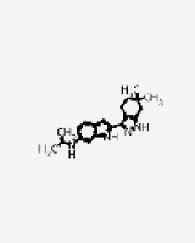 C=C(C)Nc1ccc2cc(-c3n[nH]c4c3CCC(C)(C)C4)[nH]c2c1